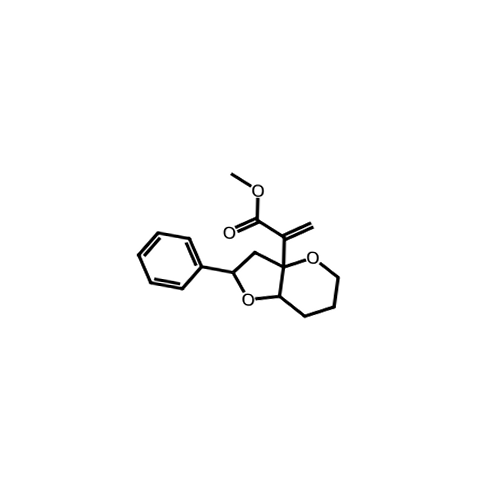 C=C(C(=O)OC)C12CC(c3ccccc3)OC1CCCO2